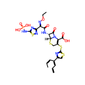 C=C/C=C(\C=C/C)c1csc(SC2=C(C(=O)O)N3C(=O)[C@@H](NC(=O)/C(=N\OCC)c4nsc(NP(=O)(O)O)n4)[C@H]3SC2)n1